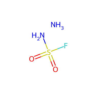 N.NS(=O)(=O)F